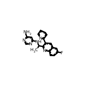 CC(Nc1cc(N)ncn1)c1nc2ccc(F)cc2cc1-c1ccccn1